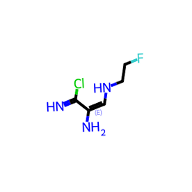 N=C(Cl)/C(N)=C\NCCF